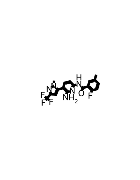 Cc1ccc(F)c(C(=O)Nc2ccc(-c3cc(C(F)(F)F)nn3C)c(N)n2)c1